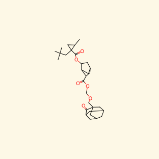 CC1CC1(CC(C)(C)C)C(=O)OC1CC2CC(C(=O)OCOCC34CC5CC(CC(C5)C3=O)C4)C1C2